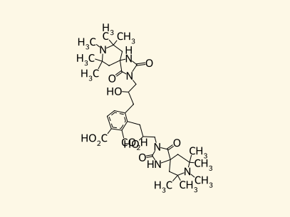 CN1C(C)(C)CC2(CC1(C)C)NC(=O)N(CC(O)Cc1ccc(C(=O)O)c(C(=O)O)c1CC(O)CN1C(=O)NC3(CC(C)(C)N(C)C(C)(C)C3)C1=O)C2=O